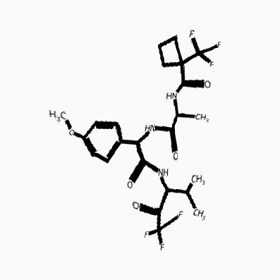 COc1ccc(C(NC(=O)C(C)NC(=O)C2(C(F)(F)F)CCC2)C(=O)NC(C(=O)C(F)(F)F)C(C)C)cc1